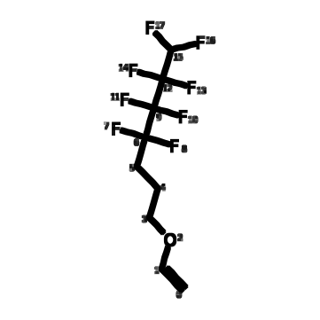 C=COCCCC(F)(F)C(F)(F)C(F)(F)C(F)F